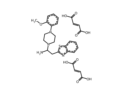 COc1ccccc1N1CCN(C(N)Cc2nc3ccccc3s2)CC1.O=C(O)C=CC(=O)O.O=C(O)C=CC(=O)O